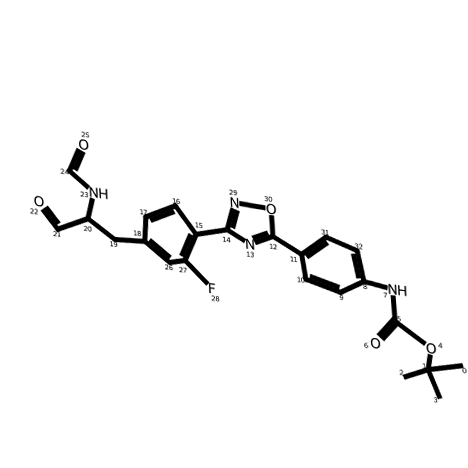 CC(C)(C)OC(=O)Nc1ccc(-c2nc(-c3ccc(CC(C=O)NC=O)cc3F)no2)cc1